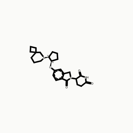 O=C1CCC(N2Cc3cc(O[C@@H]4CCC[C@@H]4N4CCCC5(CCC5)C4)ccc3C2=O)C(=O)N1